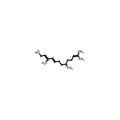 CC(C)=CCCC(C)CC/C=C/C(C)=C/CO